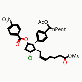 CCCCCC(OC(C)=O)c1ccc([C@@H]2[C@@H](C/C=C\CCCC(=O)OC)[C@H](Cl)C[C@@H]2OC(=O)c2ccc([N+](=O)[O-])cc2)cc1